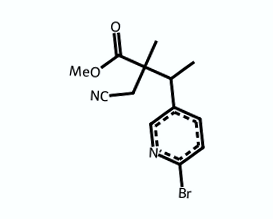 COC(=O)C(C)(CC#N)C(C)c1ccc(Br)nc1